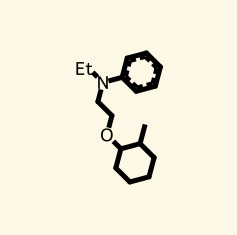 CCN(CCOC1CCCCC1C)c1ccccc1